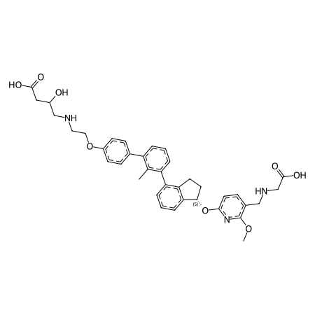 COc1nc(O[C@H]2CCc3c(-c4cccc(-c5ccc(OCCNCC(O)CC(=O)O)cc5)c4C)cccc32)ccc1CNCC(=O)O